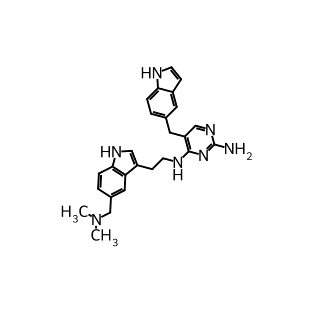 CN(C)Cc1ccc2[nH]cc(CCNc3nc(N)ncc3Cc3ccc4[nH]ccc4c3)c2c1